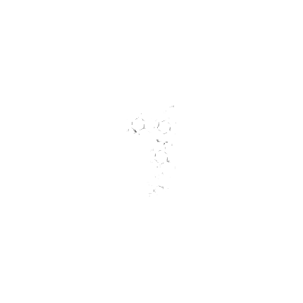 O=C(NC1CCc2cc(S(=O)(=O)c3ccc(C4CC4)cc3Sc3ccccn3)ccc21)C(F)(F)F